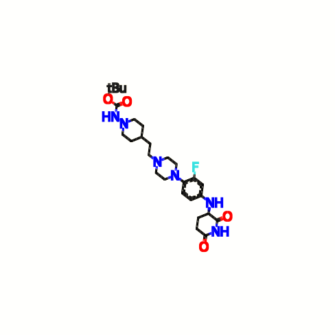 CC(C)(C)OC(=O)NN1CCC(CCN2CCN(c3ccc(N[C@@H]4CCC(=O)NC4=O)cc3F)CC2)CC1